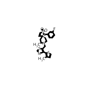 Cc1ccsc1-c1ncsc1CN1CC[C@]2(C=CS(=O)(=O)N2c2cccc(F)c2)C[C@@H]1C